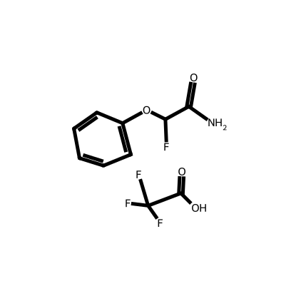 NC(=O)C(F)Oc1ccccc1.O=C(O)C(F)(F)F